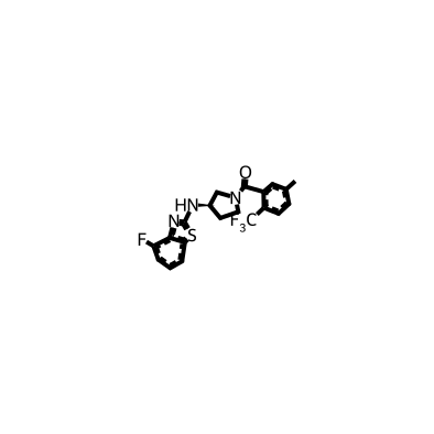 Cc1ccc(C(F)(F)F)c(C(=O)N2CC[C@@H](Nc3nc4c(F)cccc4s3)C2)c1